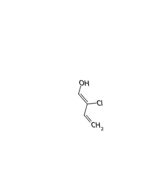 C=CC(Cl)=CO